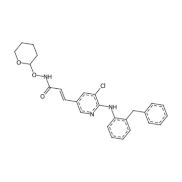 O=C(C=Cc1cnc(Nc2ccccc2Cc2ccccc2)c(Cl)c1)NOC1CCCCO1